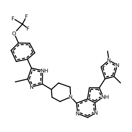 Cc1nn(C)cc1-c1cc2c(N3CCC(c4nc(C)c(-c5ccc(OC(F)(F)F)cc5)[nH]4)CC3)ncnc2[nH]1